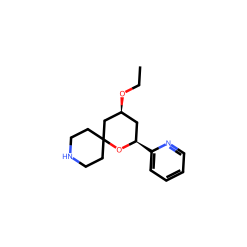 CCO[C@H]1C[C@@H](c2ccccn2)OC2(CCNCC2)C1